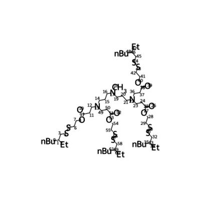 CCCCC(CC)CSSCCOC(=O)CCN(CCCN(C)CCCN(CCC(=O)OCCSSCC(CC)CCCC)CCC(=O)OCCSSCC(CC)CCCC)CCC(=O)OCCSSCC(CC)CCCC